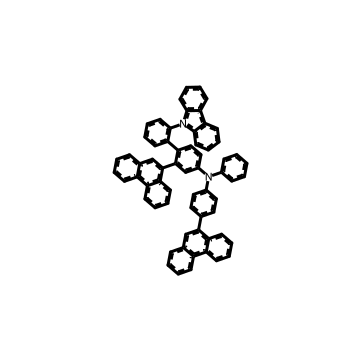 c1ccc(N(c2ccc(-c3cc4ccccc4c4ccccc34)cc2)c2ccc(-c3ccccc3-n3c4ccccc4c4ccccc43)c(-c3cc4ccccc4c4ccccc34)c2)cc1